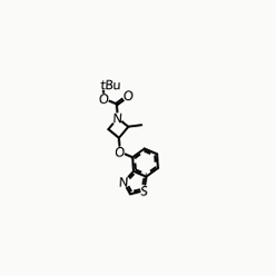 CC1C(Oc2cccc3scnc23)CN1C(=O)OC(C)(C)C